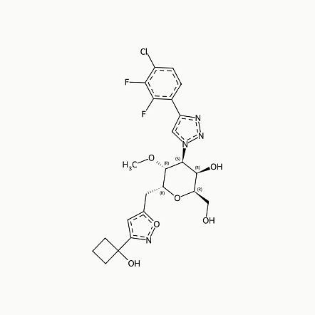 CO[C@@H]1[C@@H](n2cc(-c3ccc(Cl)c(F)c3F)nn2)[C@@H](O)[C@@H](CO)O[C@@H]1Cc1cc(C2(O)CCC2)no1